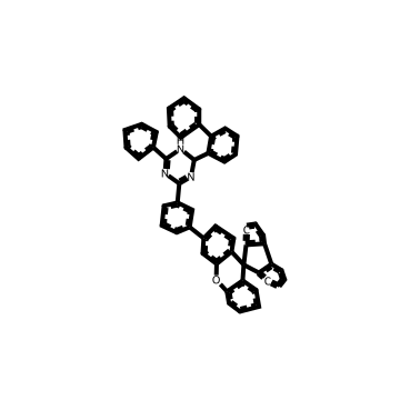 c1ccc(C2=NC(c3cccc(-c4ccc5c(c4)Oc4ccccc4C54c5ccccc5-c5ccccc54)c3)=NC(c3ccccc3-c3ccccc3)N2)cc1